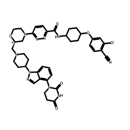 N#Cc1ccc(OC2CCC(NC(=O)c3ccc(N4CCO[C@H](CN5CCC(n6ncc7c(N8CCC(=O)NC8=O)cccc76)CC5)C4)nn3)CC2)cc1Cl